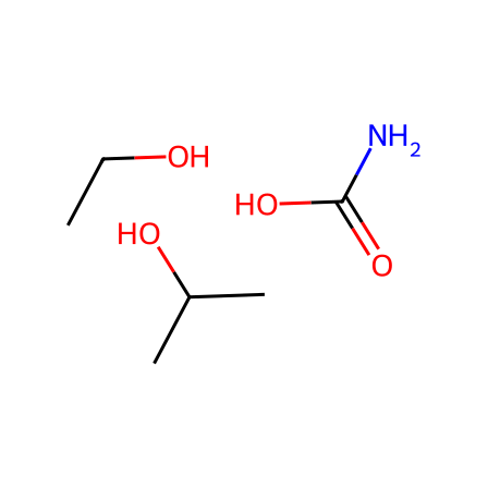 CC(C)O.CCO.NC(=O)O